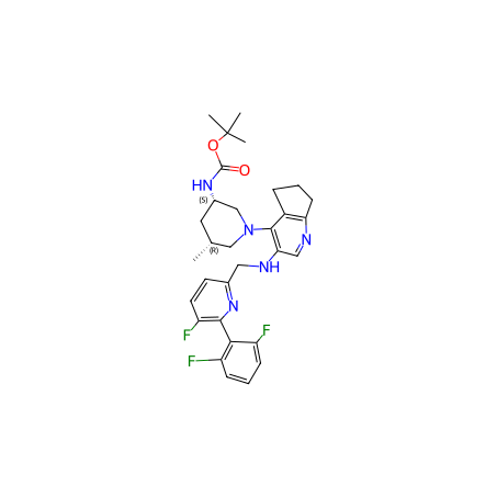 C[C@@H]1C[C@H](NC(=O)OC(C)(C)C)CN(c2c(NCc3ccc(F)c(-c4c(F)cccc4F)n3)cnc3c2CCC3)C1